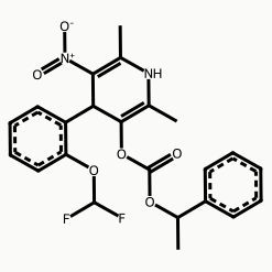 CC1=C(OC(=O)OC(C)c2ccccc2)C(c2ccccc2OC(F)F)C([N+](=O)[O-])=C(C)N1